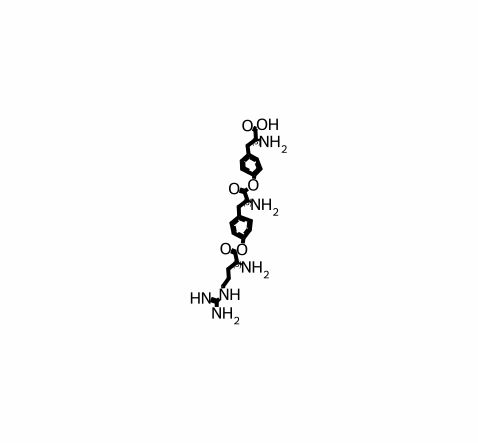 N=C(N)NCCC[C@H](N)C(=O)Oc1ccc(C[C@H](N)C(=O)Oc2ccc(C[C@H](N)C(=O)O)cc2)cc1